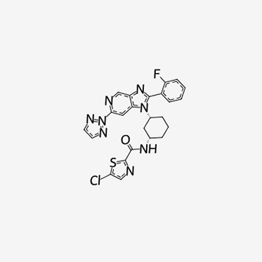 O=C(N[C@H]1CCC[C@@H](n2c(-c3ccccc3F)nc3cnc(-n4nccn4)cc32)C1)c1ncc(Cl)s1